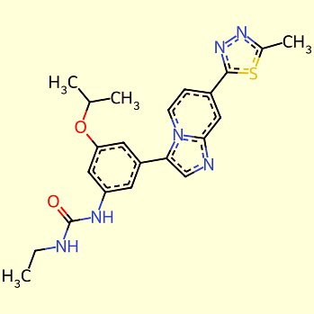 CCNC(=O)Nc1cc(OC(C)C)cc(-c2cnc3cc(-c4nnc(C)s4)ccn23)c1